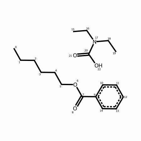 CCCCCCOC(=O)c1ccccc1.CCN(CC)C(=O)O